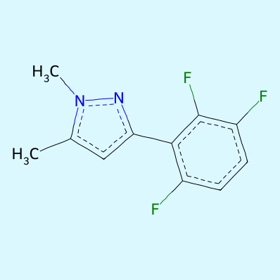 Cc1cc(-c2c(F)ccc(F)c2F)nn1C